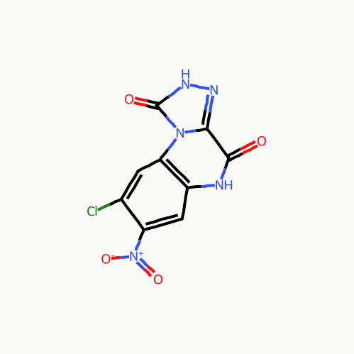 O=c1[nH]c2cc([N+](=O)[O-])c(Cl)cc2n2c(=O)[nH]nc12